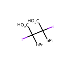 CCCC(I)(C(=O)O)C(I)(CCC)C(=O)O